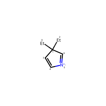 CCC1(CC)C=C[N+]=C1